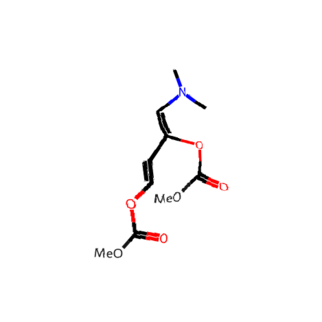 COC(=O)OC=CC(=CN(C)C)OC(=O)OC